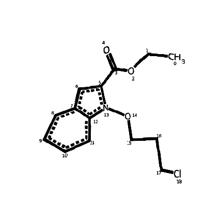 CCOC(=O)c1cc2ccccc2n1OCCCCl